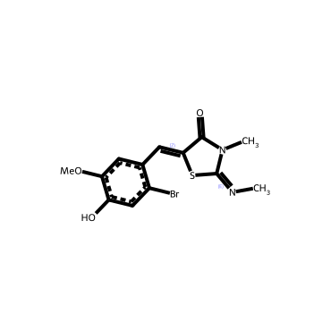 C/N=C1/S/C(=C\c2cc(OC)c(O)cc2Br)C(=O)N1C